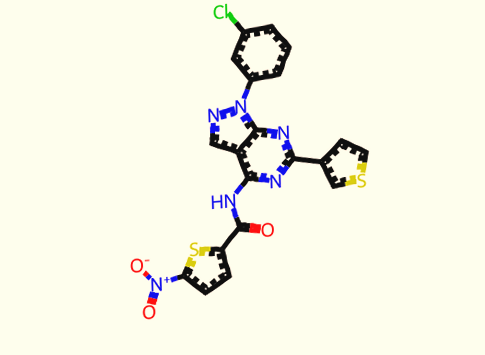 O=C(Nc1nc(-c2ccsc2)nc2c1cnn2-c1cccc(Cl)c1)c1ccc([N+](=O)[O-])s1